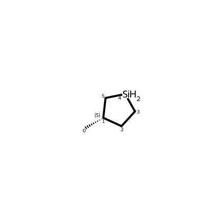 C[C@H]1CC[SiH2]C1